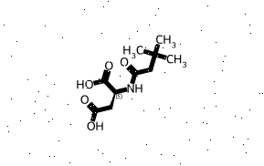 CC(C)(C)CC(=O)N[C@@H](CC(=O)O)C(=O)O